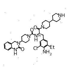 CCc1cc(C[C@@H](NC(=O)N2CCC(N3Cc4ccccc4NC3=O)CC2)C(=O)N2CCC(C3CCNCC3)CC2)cc(Cl)c1N